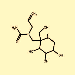 C=CCN(CC1(CO)NCC(O)C(O)C1O)C(N)=S